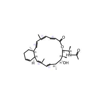 CC(=O)N[C@H](C)[C@H]1OC(=O)/C=C/C=C(C)\C=C\[C@]2(C)CCC=C[C@@H]2/C=C(C)/C=C/[C@@H](C)[C@@H](O)[C@@H]1C